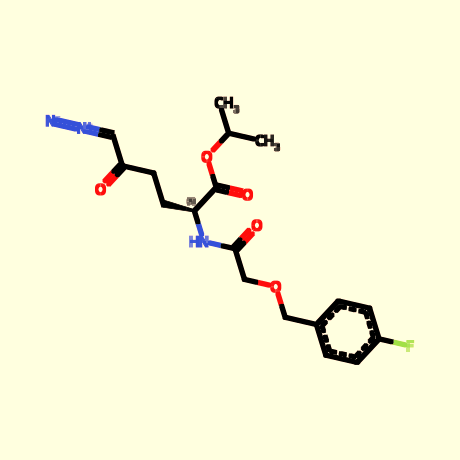 CC(C)OC(=O)[C@H](CCC(=O)C=[N+]=[N-])NC(=O)COCc1ccc(F)cc1